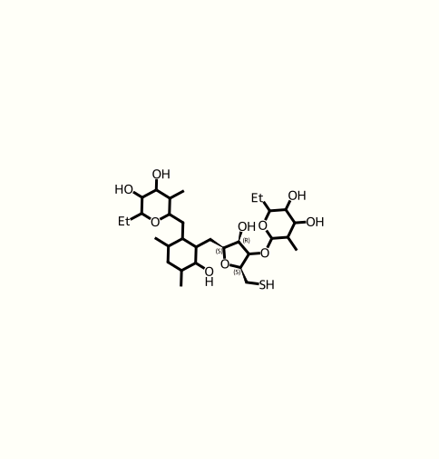 CCC1OC(CC2C(C)CC(C)C(O)C2C[C@@H]2O[C@H](CS)C(OC3OC(CC)C(O)C(O)C3C)[C@@H]2O)C(C)C(O)C1O